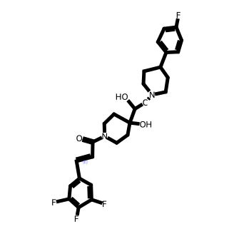 O=C(/C=C/c1cc(F)c(F)c(F)c1)N1CCC(O)(C(O)CN2CCC(c3ccc(F)cc3)CC2)CC1